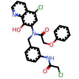 O=C(CCl)Nc1cccc(CN(C(=O)COc2ccccc2)c2cc(Cl)c3cccnc3c2O)c1